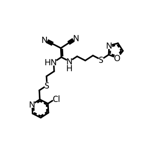 N#CC(C#N)=C(NCCCSc1ncco1)NCCSCc1ncccc1Cl